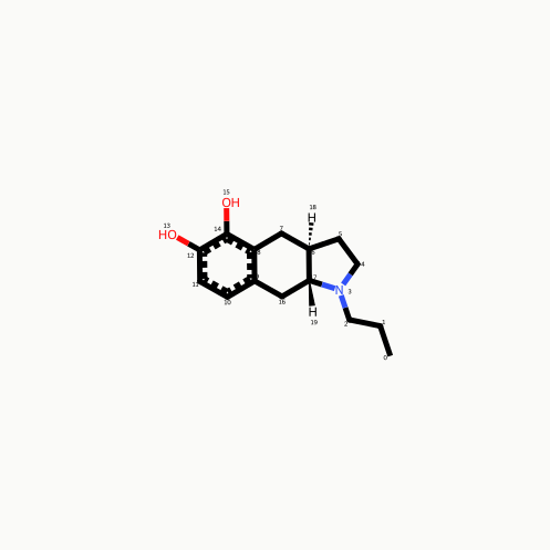 CCCN1CC[C@@H]2Cc3c(ccc(O)c3O)C[C@H]21